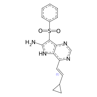 Nc1[nH]c2c(/C=C/C3CC3)ncnc2c1S(=O)(=O)c1ccccc1